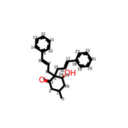 CC1CC(=O)C(CC=Cc2ccccc2)(CC=Cc2ccccc2)C(O)C1